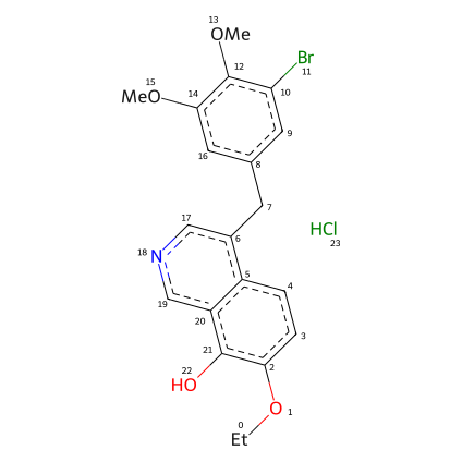 CCOc1ccc2c(Cc3cc(Br)c(OC)c(OC)c3)cncc2c1O.Cl